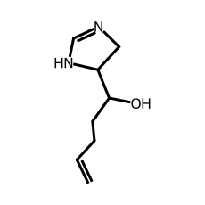 C=CCCC(O)C1CN=CN1